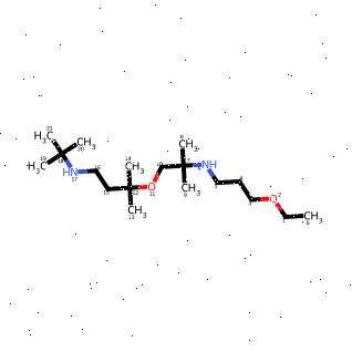 CCOCCCNC(C)(C)COC(C)(C)CCNC(C)(C)C